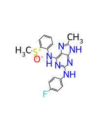 Cc1nc2c(Nc3ccccc3[S+](C)[O-])nc(Nc3ccc(F)cc3)nc2[nH]1